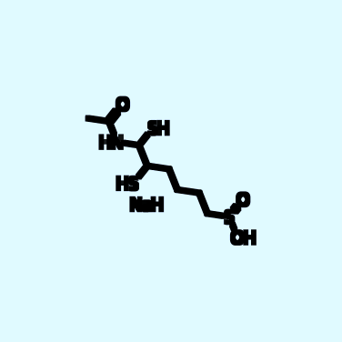 CC(=O)NC(S)C(S)CCCCS(=O)O.[NaH]